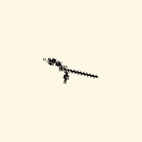 CCCCCCCCCCCCCCCCCCOC[C@@H](COP(=O)(O)OC[C@]1(C)CC[C@H](c2ccc3c(N)ncnn23)O1)OCc1ccc(C#N)nc1